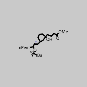 CCCCCC(/C=C/C1CCCC(O)(CCCC(=O)OC)C1)O[Si](C)(C)C(C)(C)C